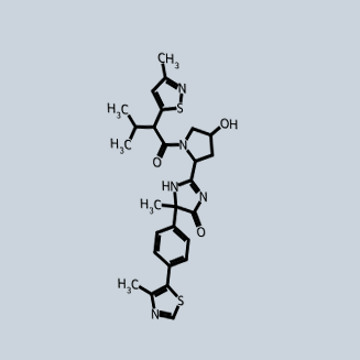 Cc1cc(C(C(=O)N2CC(O)CC2C2=NC(=O)C(C)(c3ccc(-c4scnc4C)cc3)N2)C(C)C)sn1